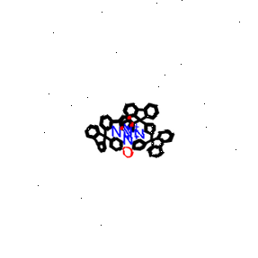 c1ccc2c(c1)-c1ccccc1C21c2cccc3c2N2c4c1ccc1c4[N+]4(c5c(ccc6c5-n5c7c(cccc7c7ccc[n+]4c75)C64c5ccccc5-c5ccccc54)O1)[n+]1cccc(c12)C31c2ccccc2-c2ccccc21